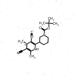 [C-]#[N+]C1=C(C2CCCN(C(=O)OC(C)(C)C)C2)NC(C)=C(C#N)[C@H]1C